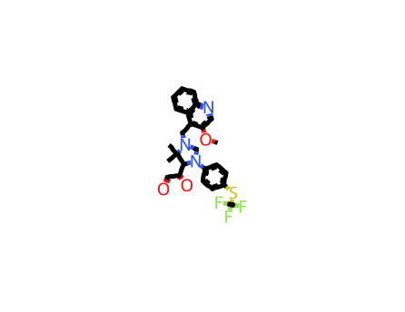 COc1cnc2ccccc2c1CN1CN(c2ccc(SC(F)(F)F)cc2)C(C(=O)C=O)C1(C)C